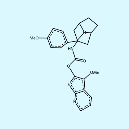 COc1ccc(CN2C3CCC2CC(NC(=O)Oc2sc4ncccc4c2OC)C3)cc1